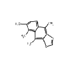 Cc1ccc2c(C)c3n[c]oc3c(C)c2c1C